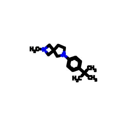 CN1CC2(CCN(c3ccc(C(C)(C)C)cc3)C2)C1